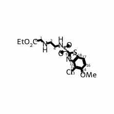 CCOC(=O)CNCCNS(=O)(=O)c1nc2c(Cl)c(OC)ccc2s1